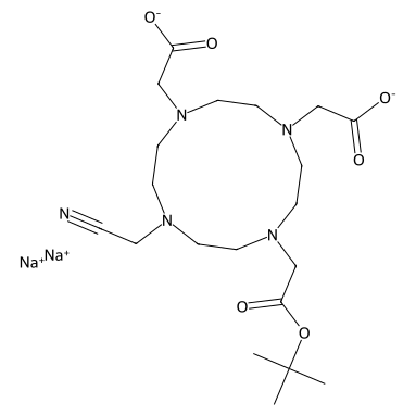 CC(C)(C)OC(=O)CN1CCN(CC#N)CCN(CC(=O)[O-])CCN(CC(=O)[O-])CC1.[Na+].[Na+]